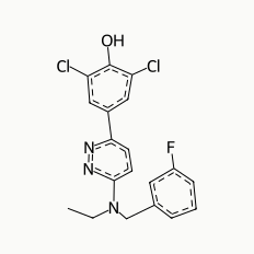 CCN(Cc1cccc(F)c1)c1ccc(-c2cc(Cl)c(O)c(Cl)c2)nn1